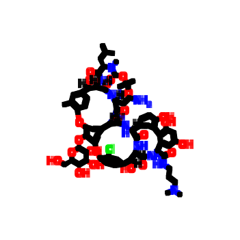 Cc1cc2ccc1Oc1cc3cc(c1O[C@@H]1O[C@H](CO)[C@@H](O)[C@H](O)[C@H]1O)Oc1ccc(cc1Cl)[C@@H](O)[C@@H]1NC(=O)[C@H](NC(=O)[C@@H]3NC(=O)[C@H](CC(N)=O)NC(=O)[C@H](NC(=O)[C@@H](CC(C)C)N(C)C(=O)OC(C)(C)C)[C@@H]2O)c2ccc(O)c(c2)-c2c(O)cc(O)cc2[C@@H](C(=O)NCCCN(C)C)NC1=O